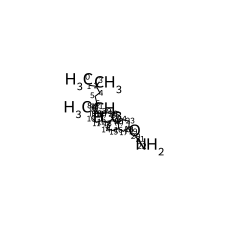 CCC(C)CCC[C@@H](C)[C@H]1CCC2C3CC=C4C[C@@H](OCCN)CC[C@]4(C)C3CC[C@@]21C